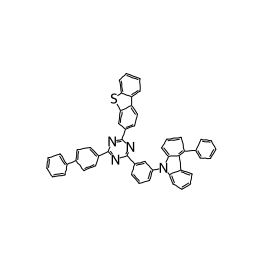 c1ccc(-c2ccc(-c3nc(-c4cccc(-n5c6ccccc6c6c(-c7ccccc7)cccc65)c4)nc(-c4ccc5c(c4)sc4ccccc45)n3)cc2)cc1